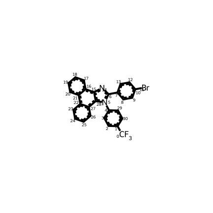 FC(F)(F)c1ccc(-n2c(-c3ccc(Br)cc3)nc3c4ccccc4c4ccccc4c32)cc1